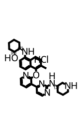 Cc1ccc2c(N[C@@H]3CCCC[C@H]3O)cccc2c1Oc1ncccc1-c1ccnc(N[C@H]2CCCNC2)n1.Cl